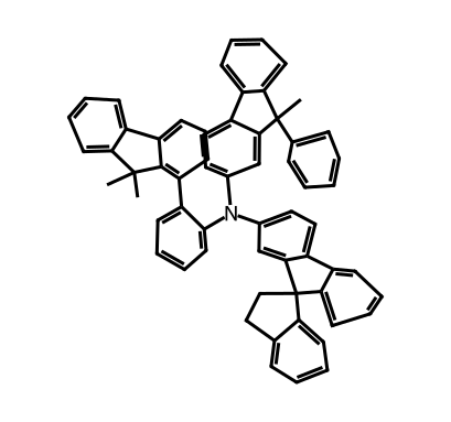 CC1(C)c2ccccc2-c2cccc(-c3ccccc3N(c3ccc4c(c3)C(C)(c3ccccc3)c3ccccc3-4)c3ccc4c(c3)C3(CCc5ccccc53)c3ccccc3-4)c21